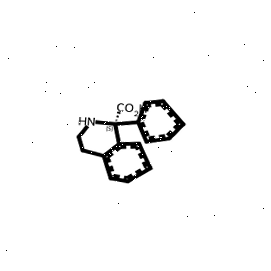 O=C(O)[C@@]1(c2ccccc2)NCCc2ccccc21